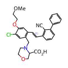 COCCOc1cc(/C=C/c2cccc(-c3ccccc3)c2C#N)c(CN2CCOCC2C(=O)O)cc1Cl